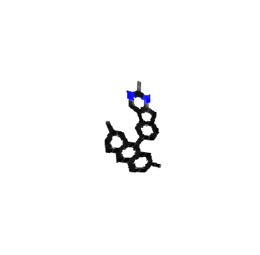 Cc1ccc2cc3ccc(C)cc3c(-c3ccc4c(c3)-c3cnc(C)nc3C4)c2c1